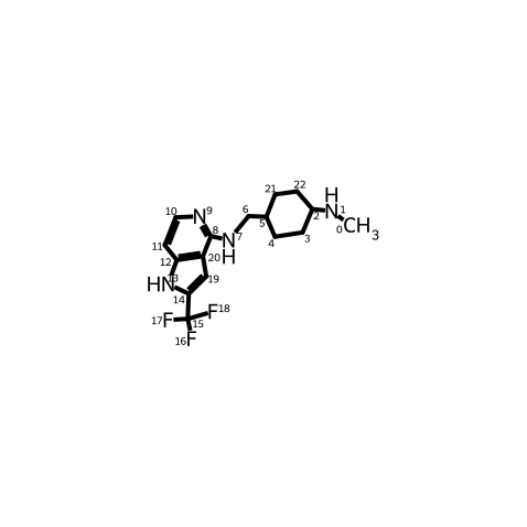 CNC1CCC(CNc2nccc3[nH]c(C(F)(F)F)cc23)CC1